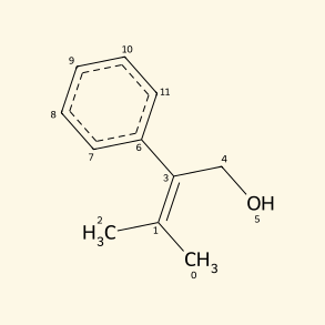 CC(C)=C(CO)c1ccccc1